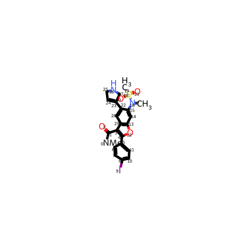 CNC(=O)c1c(-c2ccc(I)cc2)oc2cc(N(C)S(C)(=O)=O)c(C3=CCNC3)cc12